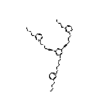 CCCCc1ccc[n+](CCCC#Cc2cc(C#CCCC[n+]3cccc(CCCC)c3)cc(CCCCC[n+]3cccc(CCCC)c3)c2)c1